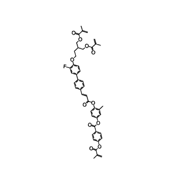 C=C(C)C(=O)OCC(CCOc1ccc(-c2ccc(/C=C/C(=O)Oc3ccc(OC(=O)c4ccc(OC(=O)C(=C)C)cc4)cc3C)cc2)cc1F)COC(=O)C(=C)C